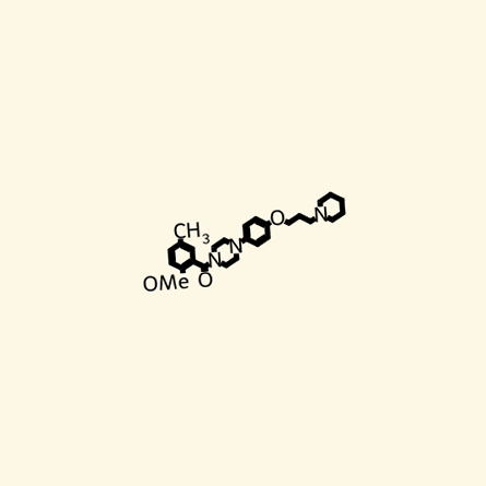 COc1ccc(C)cc1C(=O)N1CCN(c2ccc(OCCCN3CCCCC3)cc2)CC1